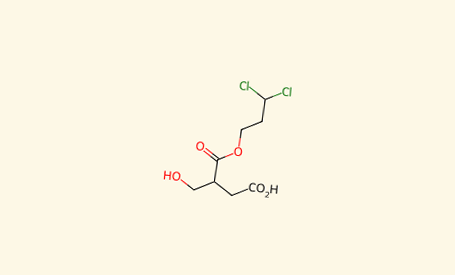 O=C(O)CC(CO)C(=O)OCCC(Cl)Cl